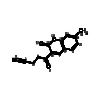 C#CCCC(=O)c1cc2ccc(C)cc2oc1=O